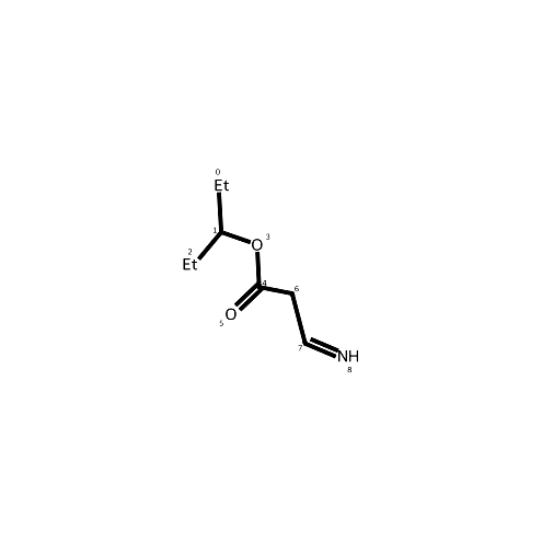 CCC(CC)OC(=O)CC=N